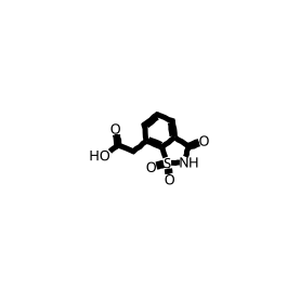 O=C(O)Cc1cccc2c1S(=O)(=O)NC2=O